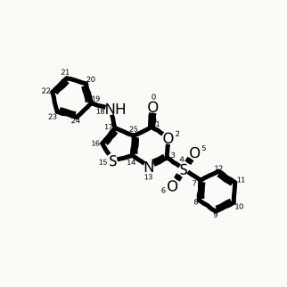 O=c1oc(S(=O)(=O)c2ccccc2)nc2scc(Nc3ccccc3)c12